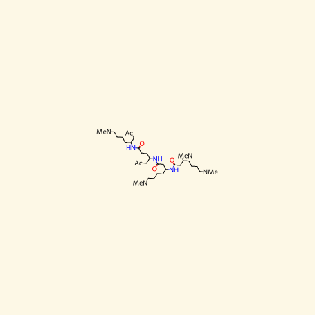 CNCCCCC(CC(=O)NC(CCCCNC)CC(=O)NC(CCC(=O)NC(CCCCNC)CC(C)=O)CC(C)=O)NC